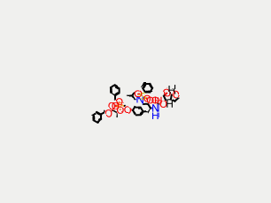 CC(C)CN(C[C@@H](O)[C@H](Cc1ccc(OCP(=O)(OCc2ccccc2)O[C@@H](C)C(=O)OCc2ccccc2)cc1)NC(=O)O[C@H]1CO[C@H]2OCC[C@H]21)S(=O)(=O)c1ccccc1